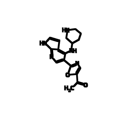 CC(=O)c1cnc(-c2cnc3[nH]ccc3c2NC2CCCNC2)o1